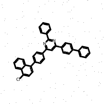 Clc1ccc(-c2ccc(-c3cc(-c4ccc(-c5ccccc5)cc4)nc(-c4ccccc4)n3)cc2)c2ccccc12